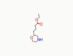 CCOC(=O)CCCC1CNCCO1